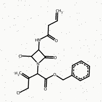 C=CCC(=O)NC1C(=O)N(C(C(=C)CCl)C(=O)OCc2ccccc2)C1Cl